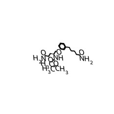 CC(C)(C)OC(=O)N[C@@H](CCC(N)=O)COc1cccc(CCCCC(N)=O)c1